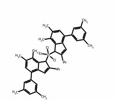 C[CH2][Zr]([Cl])([Cl])([CH]1C(C(C)C)=Cc2c(-c3cc(C)cc(C)c3)cc(C)c(C)c21)[CH]1C(C(C)C)=Cc2c(-c3cc(C)cc(C)c3)cc(C)c(C)c21